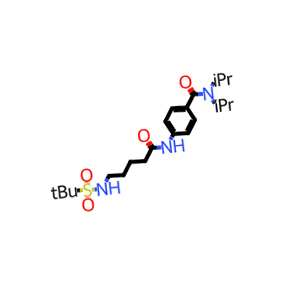 CC(C)N(C(=O)c1ccc(NC(=O)CCCCNS(=O)(=O)C(C)(C)C)cc1)C(C)C